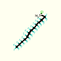 FC(F)(F)C(F)(F)C(F)(F)C(F)(F)C(F)(F)C(F)(F)C(F)(F)C(F)(F)C(F)(F)C(F)(F)C(F)(F)C(F)(F)[SiH2]Cl